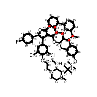 CCOC(=O)[C@@H](Cc1cc(O[Si](C)(C)C(C)(C)C)ccc1OCc1ccnc(-c2ccccc2OC)n1)Oc1ncnc2oc(-c3ccc(F)cc3)c(-c3cc(Cl)c(O[C@H](CO)CN4CCN(C)CC4)c(Cl)c3)c12